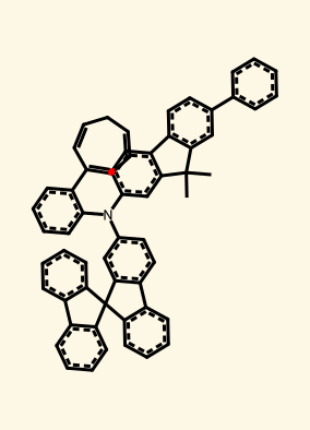 CC1(C)c2cc(-c3ccccc3)ccc2-c2ccc(N(c3ccc4c(c3)C3(c5ccccc5-c5ccccc53)c3ccccc3-4)c3ccccc3C3=CC=CCC=C3)cc21